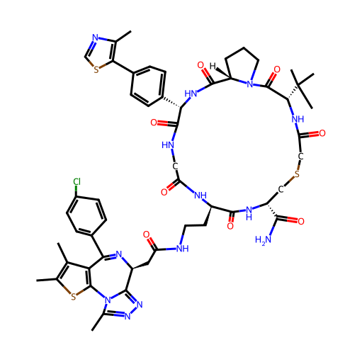 Cc1ncsc1-c1ccc([C@@H]2NC(=O)[C@@H]3CCCN3C(=O)[C@H](C(C)(C)C)NC(=O)CSC[C@H](C(N)=O)NC(=O)[C@@H](CCNC(=O)C[C@@H]3N=C(c4ccc(Cl)cc4)c4c(sc(C)c4C)-n4c(C)nnc43)NC(=O)CNC2=O)cc1